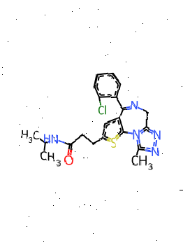 Cc1nnc2n1-c1sc(CCC(=O)NC(C)C)cc1C(c1ccccc1Cl)=NC2